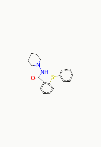 O=C(NN1CCCCC1)c1ccccc1Sc1ccccc1